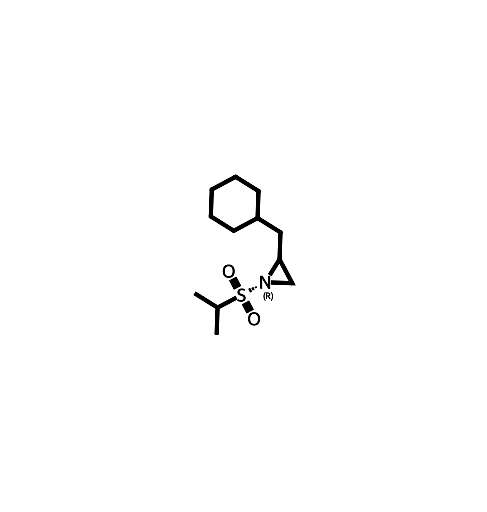 CC(C)S(=O)(=O)[N@@]1CC1CC1CCCCC1